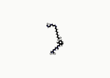 CC/C=C\C/C=C\C/C=C\CCCCCCCC(=O)OC1CCC(C)(C)C(/C=C/C(C)=C/C=C/C(C)=C/C=O)=C1C